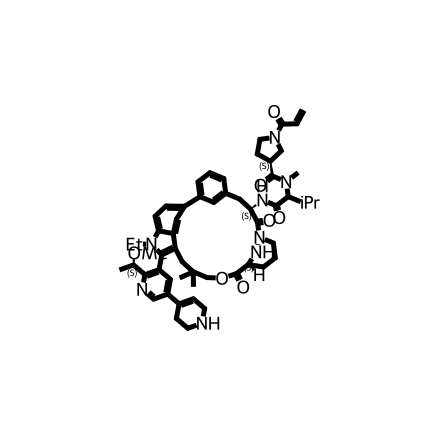 C=CC(=O)N1CC[C@H](C(=O)N(C)C(C(=O)N[C@H]2Cc3cccc(c3)-c3ccc4c(c3)c(c(-c3cc(C5=CCNCC5)cnc3[C@H](C)OC)n4CC)CC(C)(C)COC(=O)[C@@H]3CCCN(N3)C2=O)C(C)C)C1